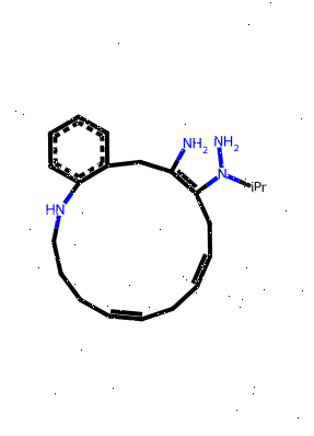 CC(C)N(N)/C1=C(\N)Cc2ccccc2NCCC/C=C\CC=CC1